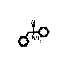 N#CC(N)(Cc1ccccc1)c1ccccc1